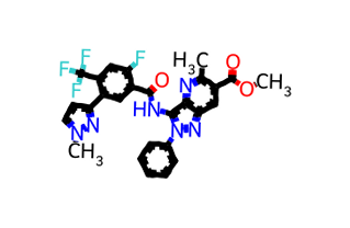 COC(=O)c1cc2nn(-c3ccccc3)c(NC(=O)c3cc(-c4ccn(C)n4)c(C(F)(F)F)cc3F)c2nc1C